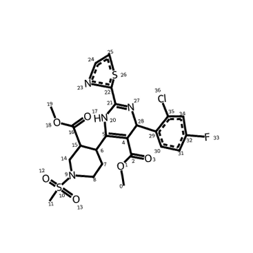 COC(=O)C1=C(C2CCN(S(C)(=O)=O)CC2C(=O)OC)NC(c2nccs2)=NC1c1ccc(F)cc1Cl